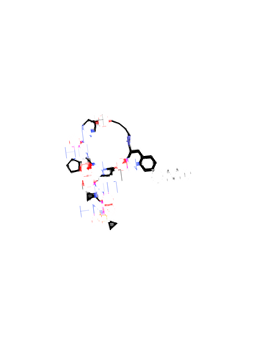 CCC1C[C@]1(NC(=O)[C@@H]1C[C@@H]2CN1C(=O)[C@H](C1CCCC1)NC(=O)N1CC[C@@H](C1)OCCC/C=C/c1cc3ccc(OC)cc3nc1O2)C(=O)NS(=O)(=O)C1CC1